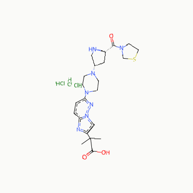 CC(C)(C(=O)O)c1cn2nc(N3CCN([C@@H]4CN[C@H](C(=O)N5CCSC5)C4)CC3)ccc2n1.Cl.Cl.Cl